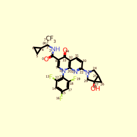 O=C(N[C@H](C1CC1)C(F)(F)F)c1cn(-c2c(F)cc(F)cc2F)c2nc(N3CC4CC4(O)C3)ccc2c1=O